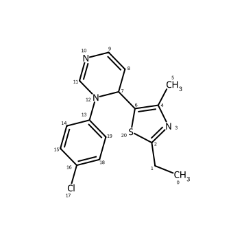 CCc1nc(C)c(C2C=CN=CN2c2ccc(Cl)cc2)s1